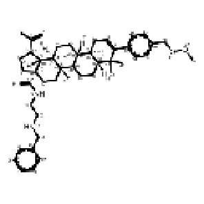 C=C(C)[C@@H]1CC[C@]2(C(=O)NCCNCc3ccccc3)CC[C@]3(C)[C@H](CC[C@@H]4[C@@]5(C)CC=C(c6ccc(COOC)cc6)C(C)(C)[C@@H]5CC[C@]43C)[C@@H]12